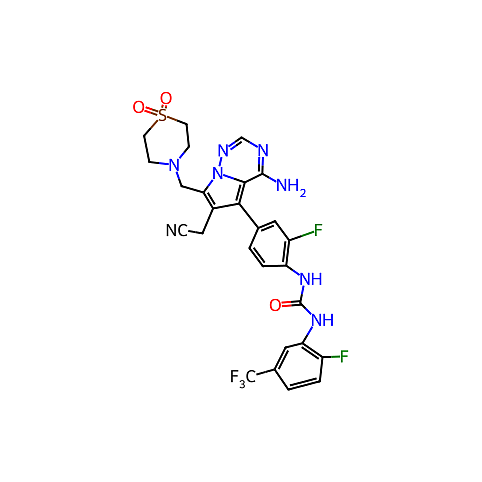 N#CCc1c(-c2ccc(NC(=O)Nc3cc(C(F)(F)F)ccc3F)c(F)c2)c2c(N)ncnn2c1CN1CCS(=O)(=O)CC1